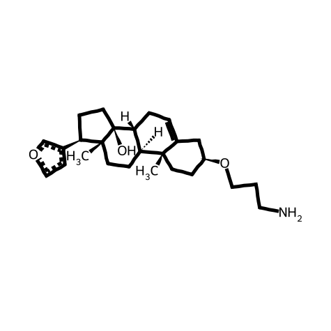 C[C@]12CC[C@H](OCCCN)CC1=CC[C@@H]1[C@@H]2CC[C@]2(C)[C@@H](c3ccoc3)CC[C@]12O